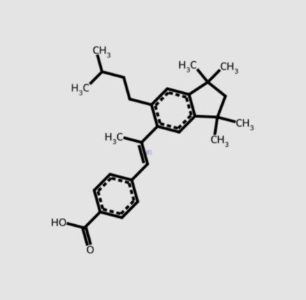 C/C(=C\c1ccc(C(=O)O)cc1)c1cc2c(cc1CCC(C)C)C(C)(C)CC2(C)C